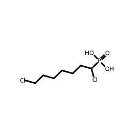 O=P(O)(O)C(Cl)CCCCCCCl